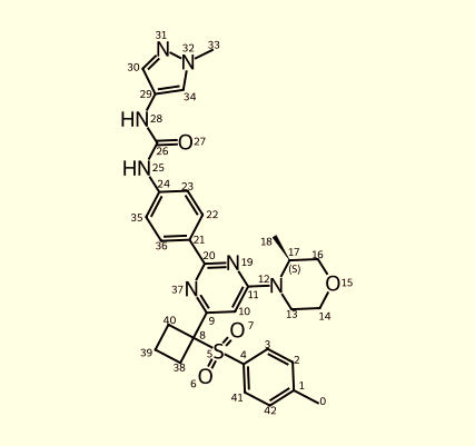 Cc1ccc(S(=O)(=O)C2(c3cc(N4CCOC[C@@H]4C)nc(-c4ccc(NC(=O)Nc5cnn(C)c5)cc4)n3)CCC2)cc1